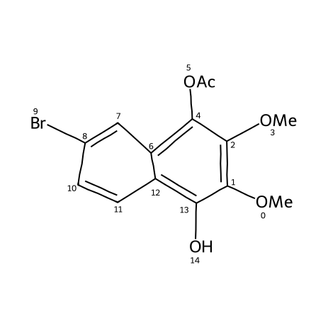 COc1c(OC)c(OC(C)=O)c2cc(Br)ccc2c1O